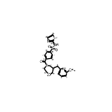 Cc1cccc(CC2COCCN(C(=O)c3ccc(S(=O)(=O)Nc4nccs4)cc3)C2)n1